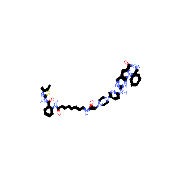 Cc1nc(NC(=O)c2ccccc2NC(=O)CCCCCCCNC(=O)CN2CCN(c3ccc(Nc4ncc5cc6n(c5n4)C4(CCCCC4)CNC6=O)nc3)CC2)sc1C